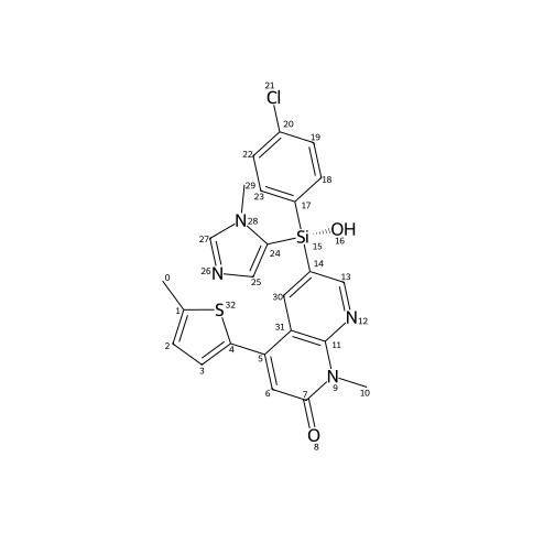 Cc1ccc(-c2cc(=O)n(C)c3ncc([Si@](O)(c4ccc(Cl)cc4)c4cncn4C)cc23)s1